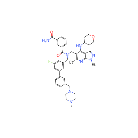 CCc1nc2c(cnn2CC)c(NC2CCOCC2)c1CN(Cc1cc(F)cc(-c2cccc(CN3CCN(C)CC3)c2)c1)C(=O)c1cccc(C(N)=O)c1